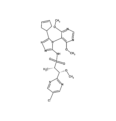 COc1ncnc(OC)c1-n1c(NS(=O)(=O)[C@@H](C)[C@H](OC)c2ncc(Cl)cn2)nnc1C1CC=CC1